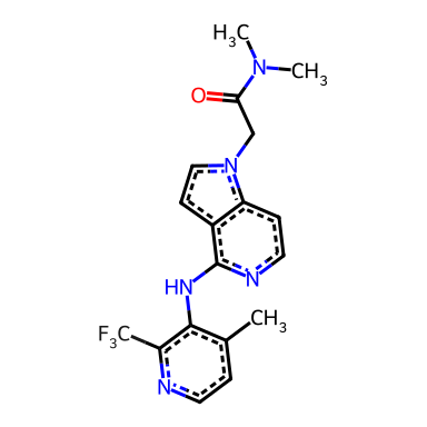 Cc1ccnc(C(F)(F)F)c1Nc1nccc2c1ccn2CC(=O)N(C)C